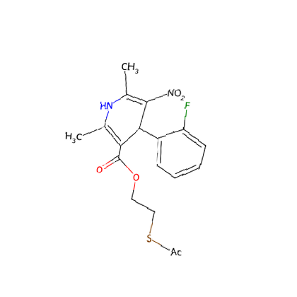 CC(=O)SCCOC(=O)C1=C(C)NC(C)=C([N+](=O)[O-])C1c1ccccc1F